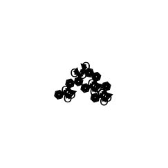 CC(OC(c1ccccc1)C1CO1)(c1ccccc1)C1CO1.c1ccc(C(OC(c2ccccc2)C2CO2)C2CO2)cc1.c1ccc(C(OC(c2ccccc2)C2CO2)C2CO2)cc1.c1ccc(C(OC(c2ccccc2)C2CO2)C2CO2)cc1